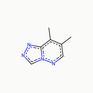 Cc1[c]nn2cnnc2c1C